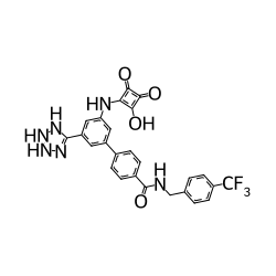 O=C(NCc1ccc(C(F)(F)F)cc1)c1ccc(-c2cc(Nc3c(O)c(=O)c3=O)cc(C3=NNNN3)c2)cc1